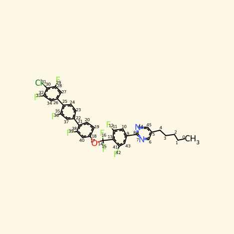 CCCCCc1cnc(-c2cc(F)c(C(F)(F)Oc3ccc(-c4ccc(-c5cc(F)c(Cl)c(F)c5)c(F)c4)c(F)c3)c(F)c2)nc1